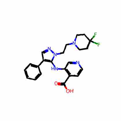 O=C(O)c1ccncc1Nc1c(-c2ccccc2)cnn1CCN1CCC(F)(F)CC1